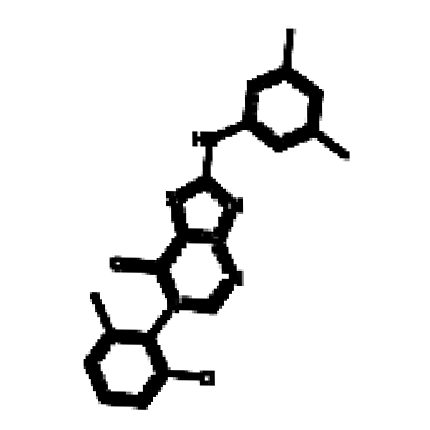 Cc1cc(C)cc(Nc2nc3ncn(-c4c(C)cccc4Cl)c(=O)c3s2)c1